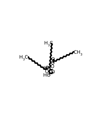 CCCCCCCCCCCCCC(=O)OC(CCCCCCCCCCC)CC(=O)N[C@H]1COC[C@@H](O)[C@@H]1OC(=O)CCCCCCCCCCCCC